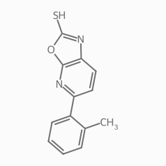 Cc1ccccc1-c1ccc2nc(S)oc2n1